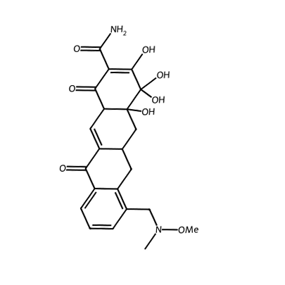 CON(C)Cc1cccc2c1CC1CC3(O)C(C=C1C2=O)C(=O)C(C(N)=O)=C(O)C3(O)O